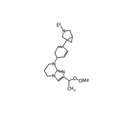 CCN1CC2CC2(C2=CCC(N3CCCn4cc(C(C)OOC)nc43)C=C2)C1